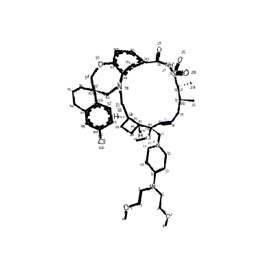 COCCN(CCOC)C1CCN(C[C@]2(OC)/C=C/C[C@H](C)[C@@H](C)S(=O)(=O)NC(=O)c3ccc4c(c3)N(C[C@@H]3CC[C@H]32)C[C@@]2(CCCc3cc(Cl)ccc32)CO4)CC1